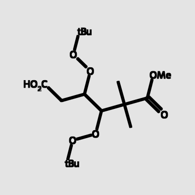 COC(=O)C(C)(C)C(OOC(C)(C)C)C(CC(=O)O)OOC(C)(C)C